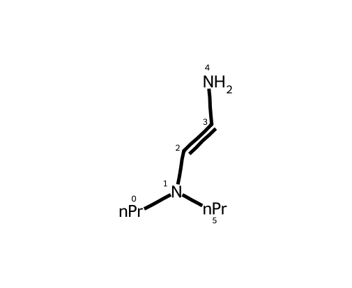 CCCN(C=CN)CCC